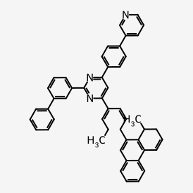 CC/C=C(\C=C/Cc1cc2ccccc2c2c1C(C)CC=C2)c1cc(-c2ccc(-c3cccnc3)cc2)nc(-c2cccc(-c3ccccc3)c2)n1